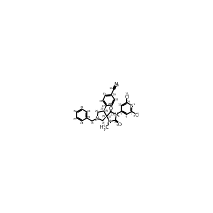 CN1C(=O)N(c2cc(Cl)nc(Cl)c2)C(=O)[C@]12CN(Cc1ccccc1)C[C@H]2c1ccc(C#N)cc1